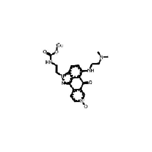 CN(C)CCNc1ccc2c3c(nn2CCNC(=O)OC(C)(C)C)-c2cc[n+]([O-])cc2C(=O)c13